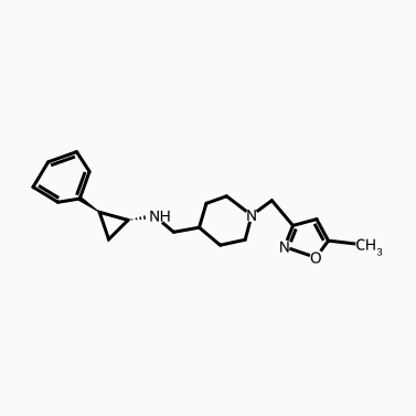 Cc1cc(CN2CCC(CN[C@@H]3C[C@H]3c3ccccc3)CC2)no1